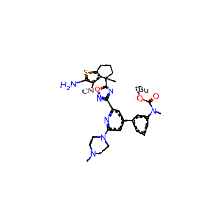 CN1CCN(c2cc(-c3cccc(N(C)C(=O)OC(C)(C)C)c3)cc(-c3noc(C4(C)CCCc5sc(N)c(C#N)c54)n3)n2)CC1